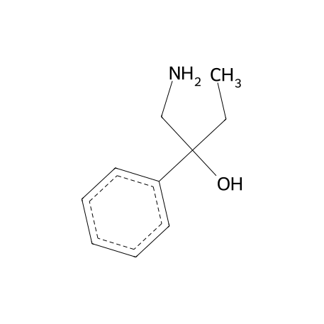 CCC(O)(CN)c1ccccc1